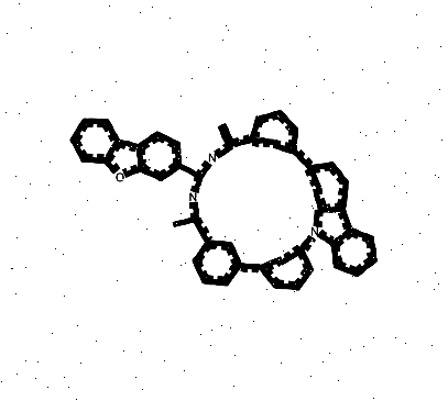 C=c1nc(-c2ccc3c(c2)oc2ccccc23)nc(C)c2cccc(c2)c2cccc(c2)n2c3ccccc3c3ccc(cc32)c2cccc1c2